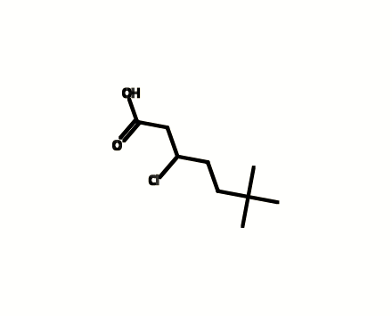 CC(C)(C)CCC(Cl)CC(=O)O